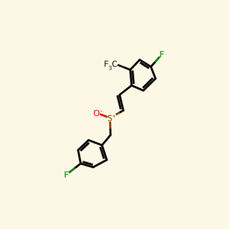 [O-][S+](/C=C/c1ccc(F)cc1C(F)(F)F)Cc1ccc(F)cc1